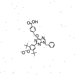 COCOc1c(C(C)(C)C)cc(-c2nc(OCc3ccc(C(=O)O)cc3)c3ncn(Cc4ccccc4)c3n2)cc1C(C)(C)C